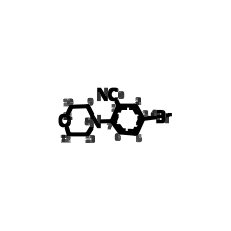 N#Cc1cc(Br)ccc1N1CCOCC1